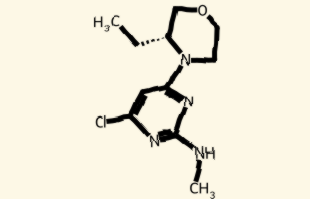 CC[C@@H]1COCCN1c1cc(Cl)nc(NC)n1